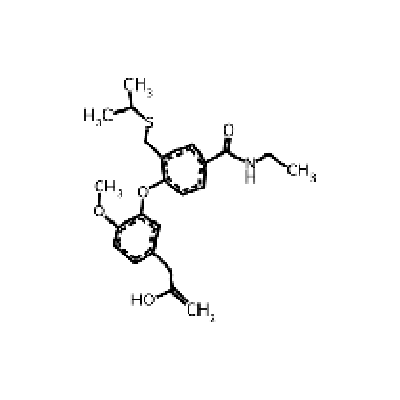 C=C(O)Cc1ccc(OC)c(Oc2ccc(C(=O)NCC)cc2CSC(C)C)c1